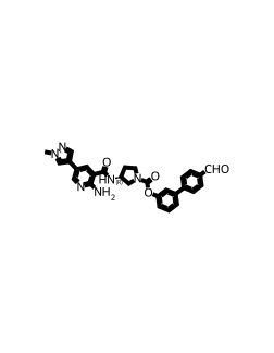 Cn1cc(-c2cnc(N)c(C(=O)N[C@@H]3CCN(C(=O)Oc4cccc(-c5ccc(C=O)cc5)c4)C3)c2)cn1